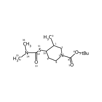 CC1CN(C(=O)OC(C)(C)C)CCC1SC(=O)N(C)C